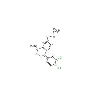 CNC1CCC(c2ccc(Cl)c(Cl)c2)c2ccc(CCC(=O)O)cc21